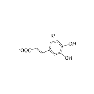 O=C([O-])C=Cc1ccc(O)c(O)c1.[K+]